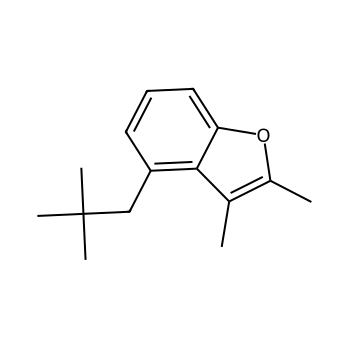 Cc1oc2cccc(CC(C)(C)C)c2c1C